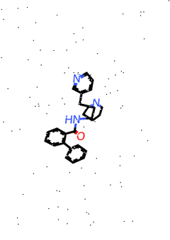 O=C(NC1C2CCN(CC2)C1Cc1cccnc1)c1ccccc1-c1ccccc1